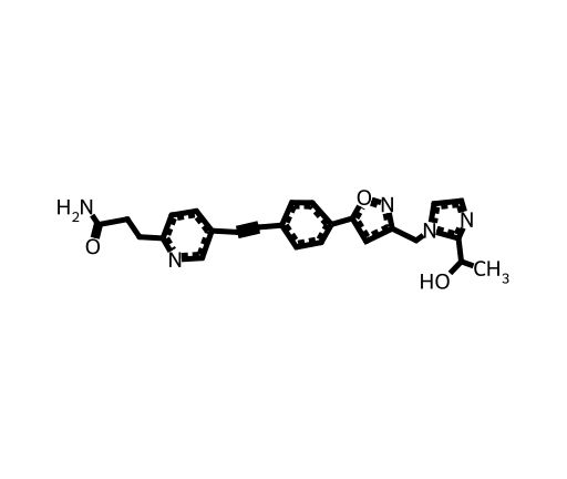 CC(O)c1nccn1Cc1cc(-c2ccc(C#Cc3ccc(CCC(N)=O)nc3)cc2)on1